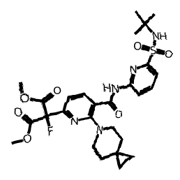 COC(=O)C(F)(C(=O)OC)c1ccc(C(=O)Nc2cccc(S(=O)(=O)NC(C)(C)C)n2)c(N2CCC3(CC2)CC3)n1